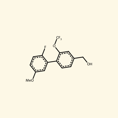 COc1ccc(F)c(-c2ccc(CO)cc2OC(F)(F)F)c1